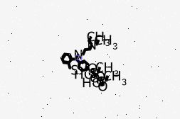 CCN(CC)CCC/N=C1/c2ccccc2CSc2ccccc21.CCS(=O)(=O)O.CCS(=O)(=O)O